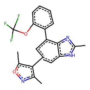 Cc1nc2c(-c3ccccc3OC(F)(F)F)cc(-c3c(C)noc3C)cc2[nH]1